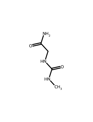 CNC(=O)NCC(N)=O